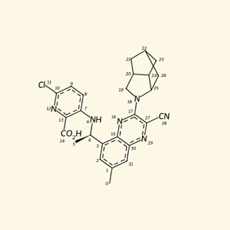 Cc1cc([C@@H](C)Nc2ccc(Cl)nc2C(=O)O)c2nc(N3CC4CC5CC4C3C5)c(C#N)nc2c1